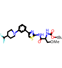 COCC(NC(=O)OC(C)(C)C)C(=O)Nc1nc(-c2cccc(N3CCC(C(F)F)CC3)c2)cs1